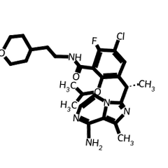 Cc1nc([C@@H](C)c2cc(Cl)c(F)c(C(=O)NCCC3CCOCC3)c2OC(C)C)n2ccnc(N)c12